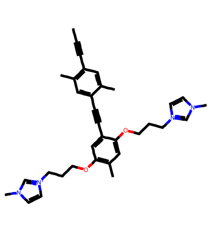 CC#Cc1cc(C)c(C#Cc2cc(OCCC[n+]3ccn(C)c3)c(C)cc2OCCC[n+]2ccn(C)c2)cc1C